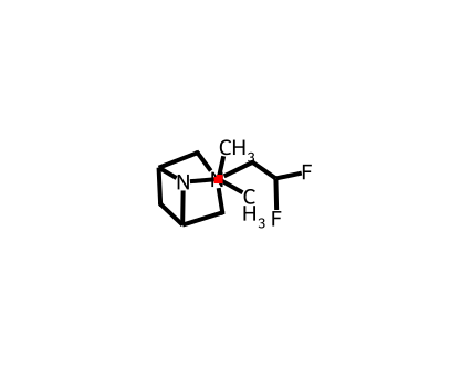 CC(C)N1C2CC1CN(CC(F)F)C2